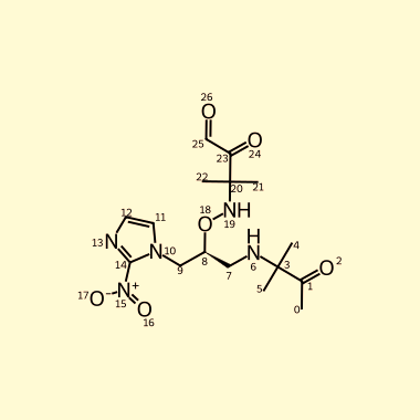 CC(=O)C(C)(C)NC[C@@H](Cn1ccnc1[N+](=O)[O-])ONC(C)(C)C(=O)C=O